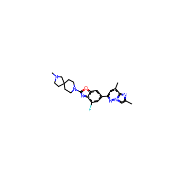 Cc1cn2nc(-c3cc(F)c4nc(N5CCC6(CCN(C)C6)CC5)oc4c3)cc(C)c2n1